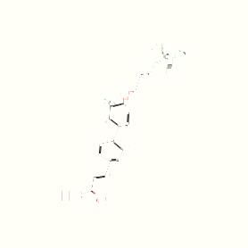 O=C(O)/C=C/c1ccc(-c2ccc(OCCCC[Si](Cl)(Cl)Cl)c(F)c2)cc1